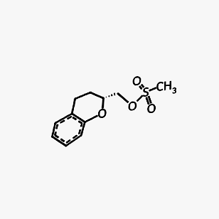 CS(=O)(=O)OC[C@H]1CCc2ccccc2O1